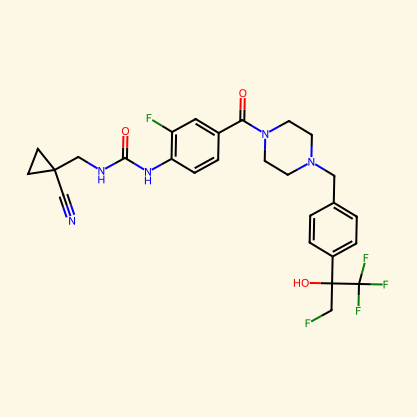 N#CC1(CNC(=O)Nc2ccc(C(=O)N3CCN(Cc4ccc(C(O)(CF)C(F)(F)F)cc4)CC3)cc2F)CC1